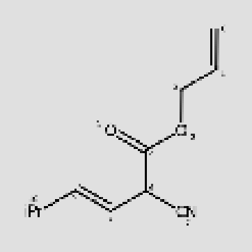 C=CCOC(=O)C(C#N)/C=C/C(C)C